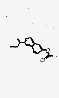 CCC(C)c1ccc2cc(OC(C)=O)ccc2c1